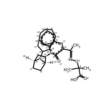 C/C(=N\OC(C)(C)C(=O)O)c1nc2ccccc2n([C@@H]2C[C@@H]3CC[C@H]2N3C2CC3CCCCC(C3)C2)c1=O